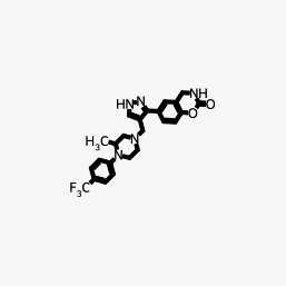 CC1CN(Cc2c[nH]nc2-c2ccc3c(c2)CNC(=O)O3)CCN1c1ccc(C(F)(F)F)cc1